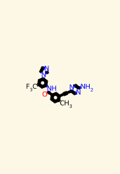 Cc1ccc(C(=O)Nc2cc(-n3ccnc3)cc(C(F)(F)F)c2)cc1C#Cc1cnc(N)cn1